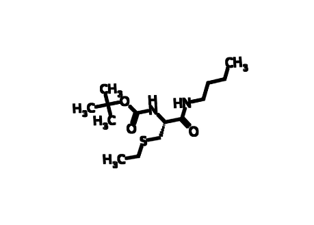 CCCCNC(=O)[C@H](CSCC)NC(=O)OC(C)(C)C